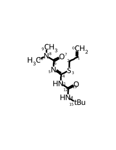 C=CCSC(=NC(=O)N(C)C)NC(=O)NC(C)(C)C